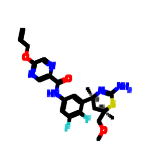 C=CCOc1cnc(C(=O)Nc2cc(F)c(F)c([C@]3(C)C[C@](C)(COC)SC(N)=N3)c2)cn1